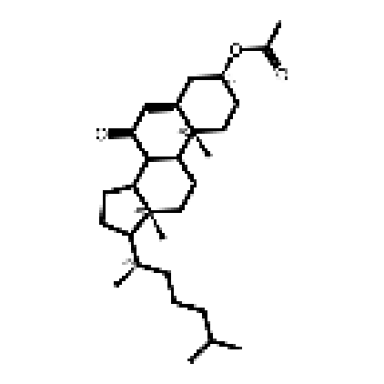 CC(=O)O[C@H]1CC[C@@]2(C)C(=CC(=O)C3C4CCC([C@H](C)CCCC(C)C)[C@@]4(C)CCC32)C1